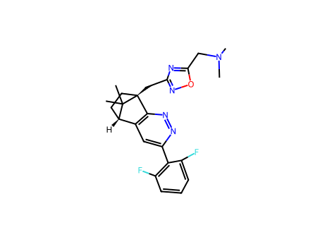 CN(C)Cc1nc(C[C@@]23CC[C@@H](c4cc(-c5c(F)cccc5F)nnc42)C3(C)C)no1